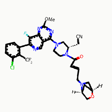 COc1nc(N2CCN(C(=O)/C=C/CN3C[C@@H]4C[C@H]3CO4)[C@@H](CC#N)C2)c2cnc(-c3cccc(Cl)c3C(F)(F)F)c(F)c2n1